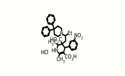 CCC(CC1(C(=O)O)C(C)NC(C)=C(C(=O)O)C1c1cccc([N+](=O)[O-])c1)N1CCC(c2ccccc2)(c2ccccc2)CC1.Cl